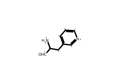 NC([C]=O)Cc1cccnc1